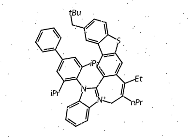 CCCC1=C(CC)c2cc3sc4ccc(CC(C)(C)C)cc4c3cc2-c2n(-c3c(C(C)C)cc(-c4ccccc4)cc3C(C)C)c3ccccc3[n+]2C1